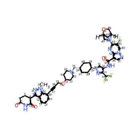 Cn1nc(C2CCC(=O)NC2=O)c2cccc(C#CCOC3CCN(C[C@H]4CC[C@H](n5cc(NC(=O)c6cnn7cc(F)c(N8C[C@H]9C[C@@H]8CO9)nc67)c(C(F)F)n5)CC4)CC3)c21